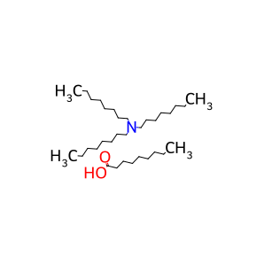 CCCCCCCCC(=O)O.CCCCCCCCN(CCCCCCCC)CCCCCCCC